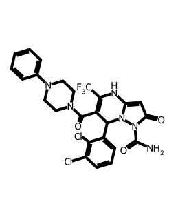 NC(=O)n1c(=O)cc2n1C(c1cccc(Cl)c1Cl)C(C(=O)N1CCN(c3ccccc3)CC1)=C(C(F)(F)F)N2